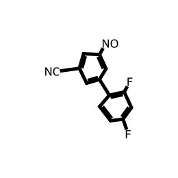 N#Cc1cc(N=O)cc(-c2ccc(F)cc2F)c1